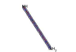 N=N/N=N/N=N/N=N/N=N/N=N/N=N/N=N/N=N/N=N/N=N/N=N/N=N/N=N/N=N/N=N/N=N/N=N/N=N/N=N/N=N/N=N/N=N/N=N/N=N/N=N/N=N/N=N/N=N/N=N/N=N/N=N/N=N/N=N/N=N/N=N/N=N/N